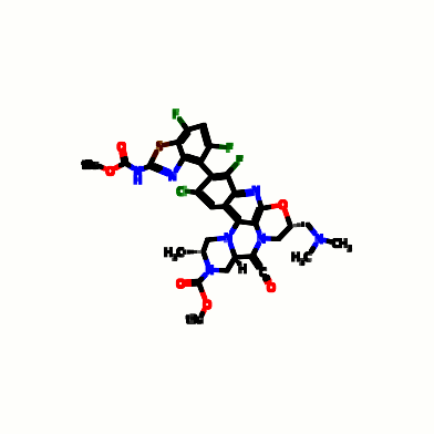 C[C@@H]1CN2c3c4c(nc5c(F)c(-c6c(F)cc(F)c7sc(NC(=O)OC(C)(C)C)nc67)c(Cl)cc35)O[C@H](CN(C)C)CN4C(=C=O)[C@H]2CN1C(=O)OC(C)(C)C